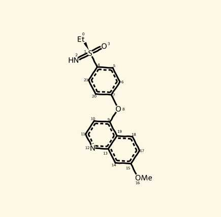 CC[S@@](=N)(=O)c1ccc(Oc2ccnc3cc(OC)ccc23)cc1